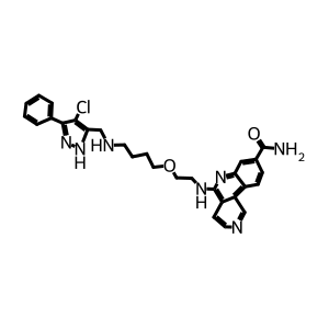 NC(=O)c1ccc2c(c1)nc(NCCOCCCCNCc1[nH]nc(-c3ccccc3)c1Cl)c1ccncc12